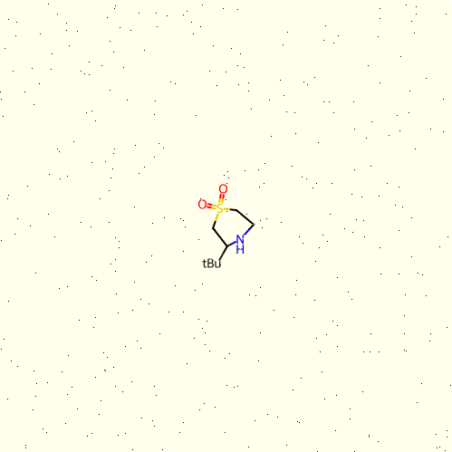 CC(C)(C)C1CS(=O)(=O)CCN1